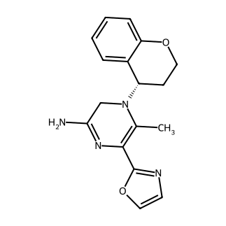 CC1=C(c2ncco2)N=C(N)CN1[C@H]1CCOc2ccccc21